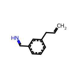 C=CCc1cccc(C=N)c1